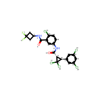 O=C(NC1CC(F)(F)C1)c1cc(NC(=O)[C@@H]2[C@@H](c3cc(Cl)cc(Cl)c3)C2(Cl)Cl)ccc1Cl